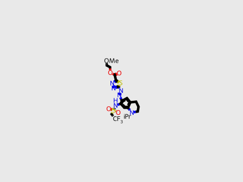 COCCOC(=O)c1nnc(N=Nc2cc3c(cc2NS(=O)(=O)CC(F)(F)F)N(C(C)C)CCC3)s1